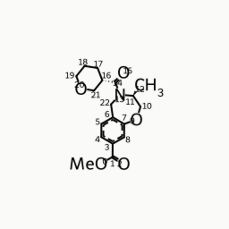 COC(=O)c1ccc2c(c1)OC[C@H](C)N(C(=O)[C@H]1CCCOC1)C2